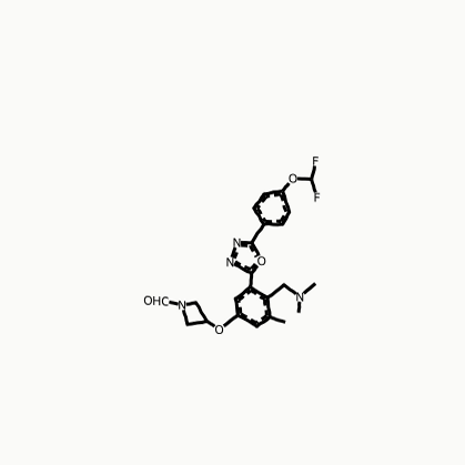 Cc1cc(OC2CN(C=O)C2)cc(-c2nnc(-c3ccc(OC(F)F)cc3)o2)c1CN(C)C